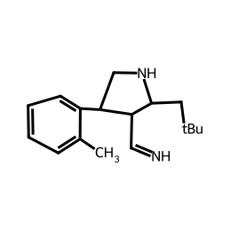 Cc1ccccc1C1CNC(CC(C)(C)C)C1C=N